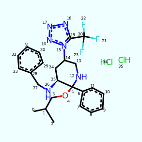 CC(C)CO[C@]1(c2ccccc2)NCC(n2nnnc2C(F)(F)F)C[C@@H]1NCc1ccccc1.Cl.Cl